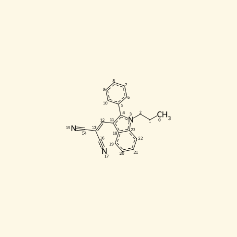 CCCn1c(-c2ccccc2)c(C=C(C#N)C#N)c2ccccc21